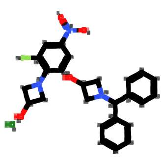 Cl.O=[N+]([O-])c1ccc(N2CC(O)C2)c(F)c1.OC1CN(C(c2ccccc2)c2ccccc2)C1